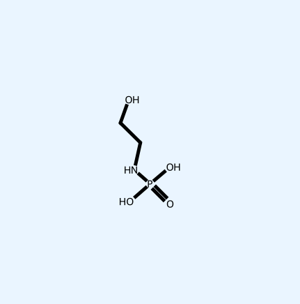 O=P(O)(O)NCCO